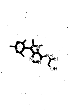 CCC(CO)Nc1ncnc2c(-c3c(C)cc(C)cc3C)c(C)n(C)c12